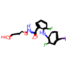 O=C(NOCCCO)c1cccc(F)c1Nc1ccc(I)cc1F